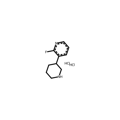 Cl.Cl.Fc1ncccc1C1CCCNC1